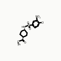 CC(C)OC(=O)[C@H]1CC[C@H](NS(=O)(=O)c2ccc(Cl)c([N+](=O)[O-])c2)CC1